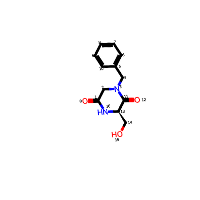 O=C1CN(Cc2ccccc2)C(=O)[C@@H](CO)N1